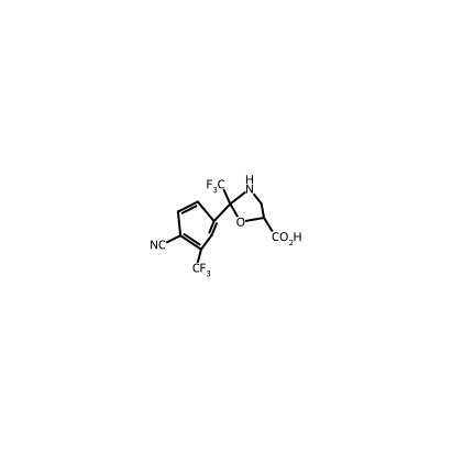 N#Cc1ccc(C2(C(F)(F)F)NCC(C(=O)O)O2)cc1C(F)(F)F